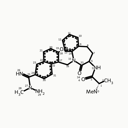 CN[C@@H](C)C(=O)NC1CCc2ccccc2N(Cc2c(OC)ccc3cc(C(=N)N(C)N)ccc23)C1=O